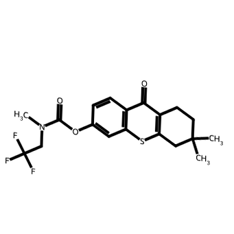 CN(CC(F)(F)F)C(=O)Oc1ccc2c(=O)c3c(sc2c1)CC(C)(C)CC3